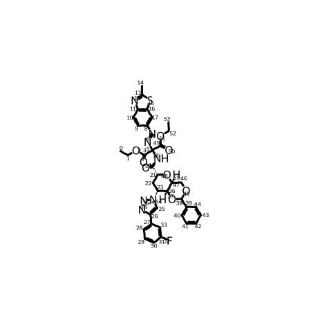 CCOC(=O)C(/N=N/c1ccc2nc(C)sc2c1)(NC(=O)[C@H]1C[C@@H](n2cc(-c3cccc(F)c3)nn2)[C@H]2OC(c3ccccc3)OC[C@H]2O1)C(=O)OCC